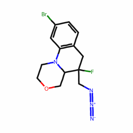 [N-]=[N+]=NCC1(F)Cc2ccc(Br)cc2N2CCOCC21